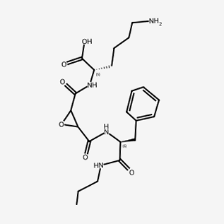 CCCNC(=O)[C@H](Cc1ccccc1)NC(=O)C1OC1C(=O)N[C@@H](CCCCN)C(=O)O